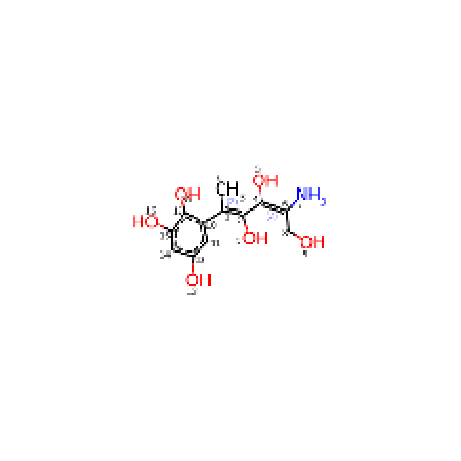 C/C(=C(O)\C(O)=C(\N)CO)c1cc(O)cc(O)c1O